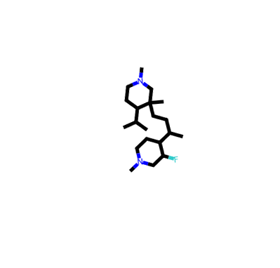 CC(C)C1CCN(C)CC1(C)CCC(C)C1CCN(C)CC1F